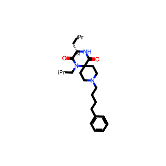 CC(C)C[C@@H]1NC(=O)C2(CCN(CCCCc3ccccc3)CC2)N(CC(C)C)C1=O